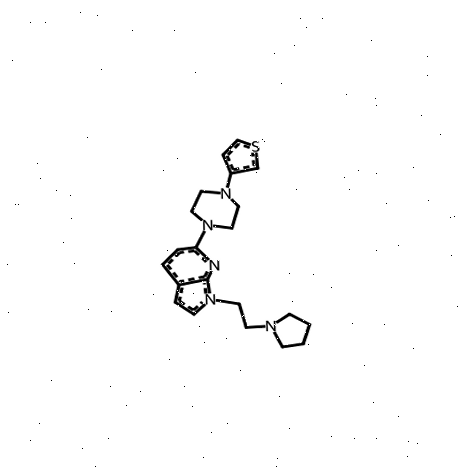 c1cc(N2CCN(c3ccc4ccn(CCN5CCCC5)c4n3)CC2)cs1